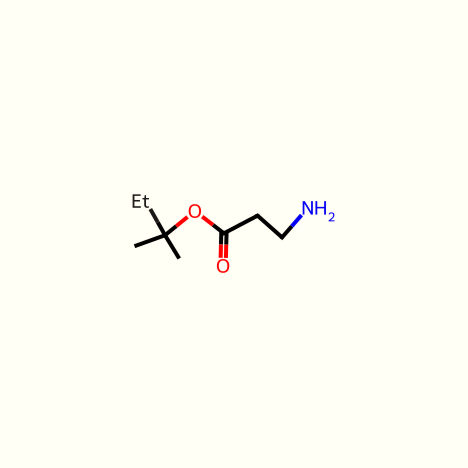 CCC(C)(C)OC(=O)CCN